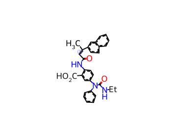 CCNC(=O)N(c1ccccc1)c1ccc(NC(=O)/C=C(/C)c2ccc3ccccc3c2)c(C(=O)O)c1